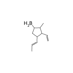 BC1CC(/C=C/C)C(C=C)C1C